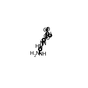 COC(=O)CCN(OC(=O)c1ccc2c(c1)nc(CNc1ccc(C(=N)N)cc1)n2C)c1ccccn1